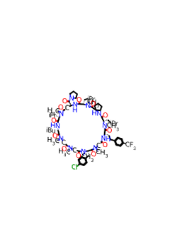 CC[C@H](C)[C@@H]1NC(=O)[C@H](C(C)C)N(C)C(=O)C[C@@H](C(=O)N2CCCC2)NC(=O)[C@H](CC(C)C)N(C)C(=O)C2(CCCC2)NC(=O)[C@H](CC(C)C)N(C)C(=O)[C@H](CCc2ccc(C(F)(F)F)cc2)NC(=O)CN(C)C(=O)[C@H](Cc2ccc(Cl)cc2)N(C)C(=O)CN(C)C(=O)CN(C)C1=O